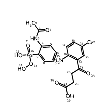 CC(=O)Nc1ccccc1[As](=O)(O)OO.Nc1ccc(Cl)cc1C(=O)CCC(=O)O